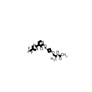 CC(=O)N[C@@H](C)CO[C@H]1C[C@H](COc2nccc(-c3ncc(C(F)(F)F)cn3)c2Cl)C1